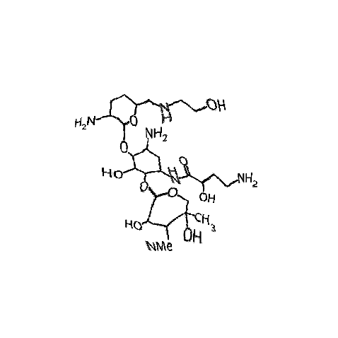 CNC1C(O)C(OC2C(NC(=O)C(O)CCN)CC(N)C(OC3OC(CNCCO)CCC3N)C2O)OCC1(C)O